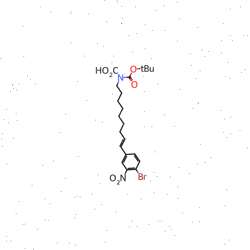 CC(C)(C)OC(=O)N(CCCCCCC/C=C/c1ccc(Br)c([N+](=O)[O-])c1)C(=O)O